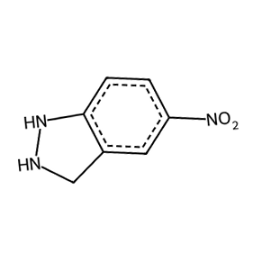 O=[N+]([O-])c1ccc2c(c1)CNN2